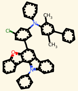 Cc1cc(N(c2ccccc2)c2cc(Cl)cc(-c3cc4c5ccccc5n(-c5ccccc5)c4c4c3oc3ccccc34)c2)c(C)cc1-c1ccccc1